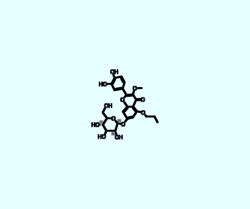 CCCOc1cc(O[C@@H]2OC(CO)[C@@H](O)C(O)[C@@H]2O)cc2oc(-c3ccc(O)c(O)c3)c(OC)c(=O)c12